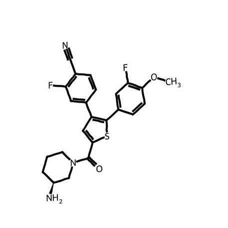 COc1ccc(-c2sc(C(=O)N3CCC[C@H](N)C3)cc2-c2ccc(C#N)c(F)c2)cc1F